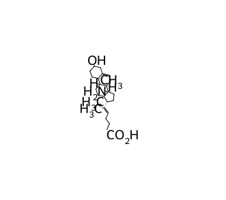 C/C(=C\CCCC(=O)O)[C@H]1CC[C@@]2(N)[C@@H]3CC=C4C[C@@H](O)CC[C@]4(C)[C@H]3CC[C@]12C